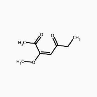 CCC(=O)/C=C(/OC)C(C)=O